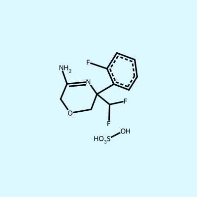 NC1=NC(c2ccccc2F)(C(F)F)COC1.O=S(=O)(O)O